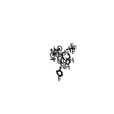 C[C@@H](C(=O)N[C@H]1CN(CC(C)(C)C(F)(F)F)CC[C@H]2CC[C@@H](C(=O)NCc3ccc(F)cc3)N2C1=O)N(C)C(=O)OC(C)(C)C